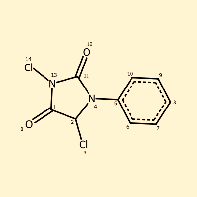 O=C1C(Cl)N(c2ccccc2)C(=O)N1Cl